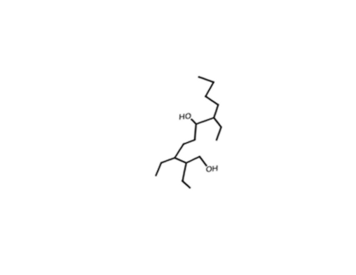 CCCCC(CC)C(O)CCC(CC)C(CC)CO